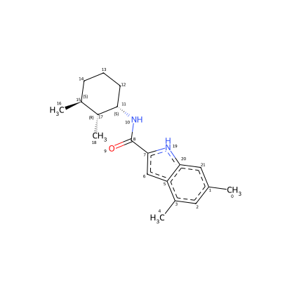 Cc1cc(C)c2cc(C(=O)N[C@H]3CCC[C@H](C)[C@H]3C)[nH]c2c1